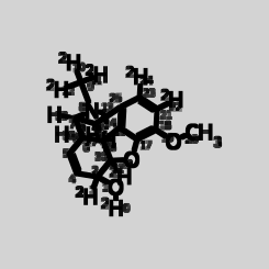 [2H]OC1([2H])C=C[C@H]2[C@@H]3N(C([2H])([2H])[2H])CC[C@@]24c2c(c(OC)c([2H])c([2H])c2C3([2H])[2H])OC14[2H]